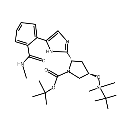 CNC(=O)c1ccccc1-c1cnc([C@@H]2C[C@@H](O[Si](C)(C)C(C)(C)C)CN2C(=O)OC(C)(C)C)[nH]1